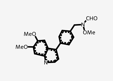 COc1cc2nccc(-c3ccc(CN(C=O)OC)cc3)c2cc1OC